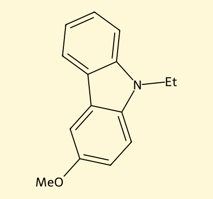 CCn1c2ccccc2c2cc(OC)ccc21